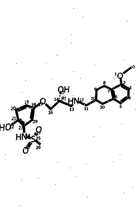 COc1cccc2c1CCC(CNC[C@@H](O)COc1ccc(O)c(NS(C)(=O)=O)c1)C2